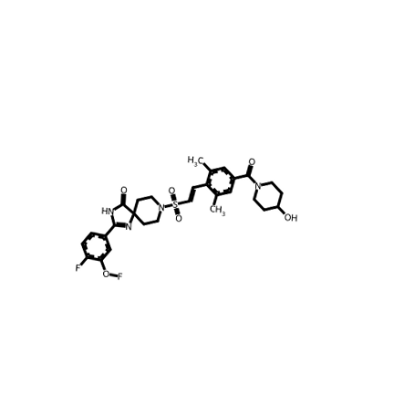 Cc1cc(C(=O)N2CCC(O)CC2)cc(C)c1/C=C/S(=O)(=O)N1CCC2(CC1)N=C(c1ccc(F)c(OF)c1)NC2=O